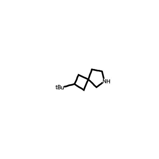 CC(C)(C)C1CC2(CCNC2)C1